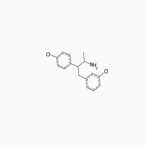 CC(N)C(Cc1cccc(Cl)c1)c1ccc(Cl)cc1